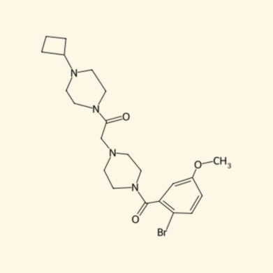 COc1ccc(Br)c(C(=O)N2CCN(CC(=O)N3CCN(C4CCC4)CC3)CC2)c1